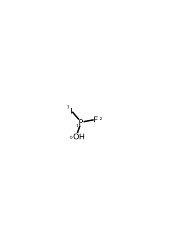 OP(F)I